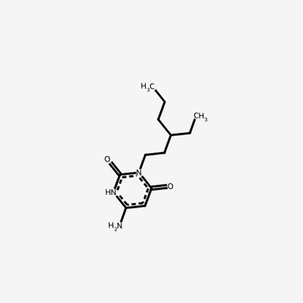 CCCC(CC)CCn1c(=O)cc(N)[nH]c1=O